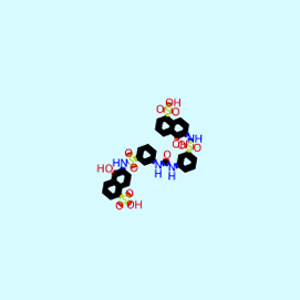 O=C(Nc1cccc(S(=O)(=O)Nc2ccc3c(S(=O)(=O)O)cccc3c2O)c1)Nc1cccc(S(=O)(=O)Nc2ccc3c(S(=O)(=O)O)cccc3c2O)c1